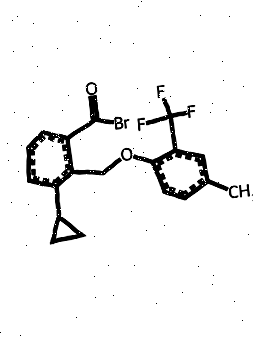 Cc1ccc(OCc2c(C(=O)Br)cccc2C2CC2)c(C(F)(F)F)c1